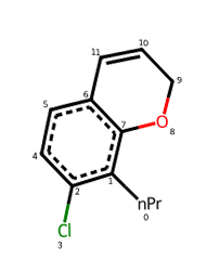 CCCc1c(Cl)ccc2c1OCC=C2